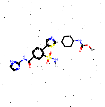 CCNS(=O)(=O)c1cc(C(=O)Nc2ncc[nH]2)ccc1-c1cnc([C@H]2CC[C@H](NC(=O)OC(C)C)CC2)s1